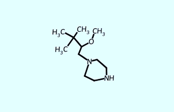 COC(CN1CCNCC1)C(C)(C)C